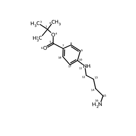 CC(C)(C)OC(=O)c1ccc(NCCCCN)cc1